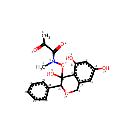 CC(=O)C(=O)N(C)OC1(O)c2c(O)cc(O)cc2COC1c1ccccc1